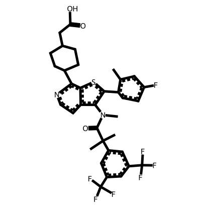 Cc1cc(F)ccc1-c1sc2c(C3CCC(CC(=O)O)CC3)nccc2c1N(C)C(=O)C(C)(C)c1cc(C(F)(F)F)cc(C(F)(F)F)c1